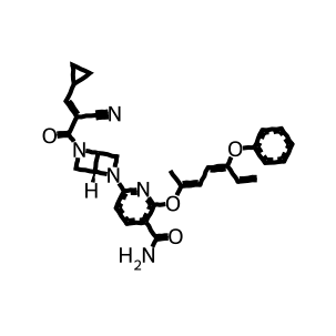 C=C/C(=C\C=C(/C)Oc1nc(N2CC3[C@H]2CN3C(=O)/C(C#N)=C/C2CC2)ccc1C(N)=O)Oc1ccccc1